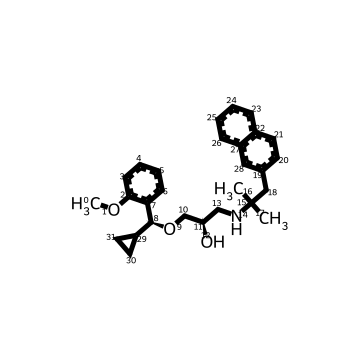 COc1ccccc1[C@@H](OC[C@H](O)CNC(C)(C)Cc1ccc2ccccc2c1)C1CC1